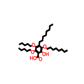 CCCCCCCCOc1c(O)c(C(=O)O)c(OCCCCC)c(OCCCCC)c1CCCCCCCC